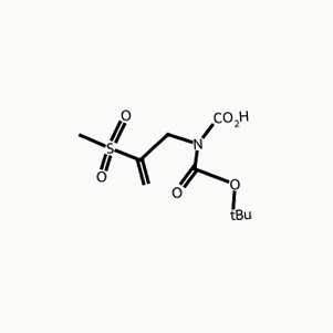 C=C(CN(C(=O)O)C(=O)OC(C)(C)C)S(C)(=O)=O